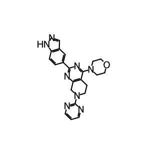 c1cnc(N2CCc3c(nc(-c4ccc5[nH]ncc5c4)nc3N3CCOCC3)C2)nc1